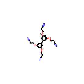 N#CCCOc1cc(OCCC#N)cc(-c2cc(OCCC#N)cc(OCCC#N)c2)c1